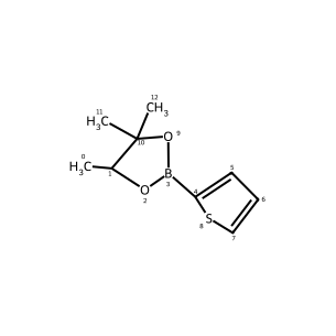 CC1OB(c2cccs2)OC1(C)C